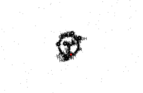 CCC[C@@H]1NC(=O)[C@H](Cc2c[nH]c3ncccc23)NC(=O)[C@@H]([C@@H](C)O)NC(=O)[C@@H]2CCCNC(=O)CCC[C@H](NC1=O)C(=O)N[C@@H](Cc1ccc(O)cc1)C(=O)N[C@@H](C1CCCCC1)C(=O)N[C@@H]([C@@H](C)O)C(=O)N[C@H](C(N)=O)CSCc1cccc(c1)CSCCC(=O)NC(C(C)(C)C)C(=O)N[C@@H](Cc1ccc(O)cc1)C(=O)N2